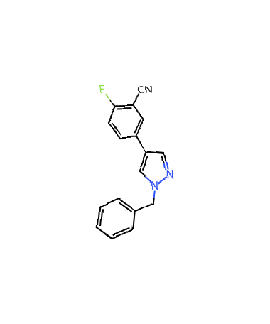 N#Cc1cc(-c2cnn(Cc3ccccc3)c2)ccc1F